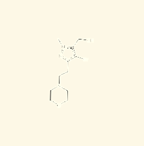 Cn1nc(CCN2CCOCC2)c(Br)c1CO